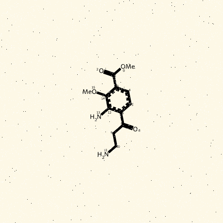 COC(=O)c1ccc(C(=O)CCN)c(N)c1OC